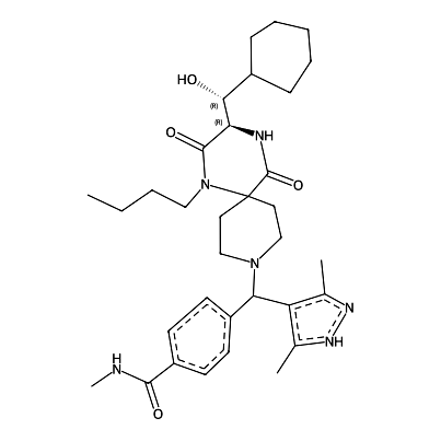 CCCCN1C(=O)[C@@H]([C@H](O)C2CCCCC2)NC(=O)C12CCN(C(c1ccc(C(=O)NC)cc1)c1c(C)n[nH]c1C)CC2